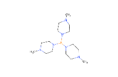 CN1CCN(P(N2CCN(C)CC2)N2CCN(C)CC2)CC1